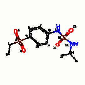 CCS(=O)(=O)c1ccc(NS(=O)(=O)NC(C)C)cc1